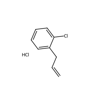 C=CCc1ccccc1Cl.Cl